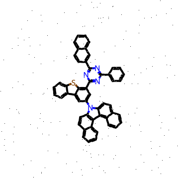 c1ccc(-c2nc(-c3ccc4ccccc4c3)nc(-c3cc(-n4c5ccc6ccccc6c5c5c6ccccc6ccc54)cc4c3sc3ccccc34)n2)cc1